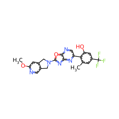 COc1cc2c(cn1)CN(c1nc3nc(-c4c(C)cc(C(F)(F)F)cc4O)cnc3o1)C2